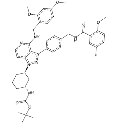 COc1ccc(CNc2nccc3c2c(-c2ccc(CNC(=O)c4cc(F)ccc4OC)cc2)nn3[C@@H]2CCC[C@@H](NC(=O)OC(C)(C)C)C2)c(OC)c1